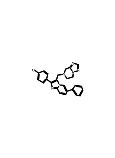 Clc1ccc(-c2nc3ccc(-c4ccccc4)cn3c2CN2CCn3ncnc3C2)cc1